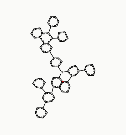 c1ccc(-c2ccc(-c3ccc(N(c4ccc(-c5ccc6c(c5)c(-c5ccccc5)c(-c5ccccc5)c5ccccc56)cc4)c4ccc(-c5ccccc5)cc4-c4ccccc4)cc3)c(-c3ccccc3)c2)cc1